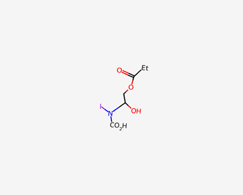 CCC(=O)OCC(O)N(I)C(=O)O